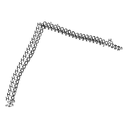 O.O.O.O.O.O.O.O.O.O.O.O.O.O.O.O.O.O.O.O.O.O.O.O.O.O.O.O.O.O.O.O.O.O.O.O.O.O.O.O.[Zn].[Zn].[Zn].[Zn].[Zn]